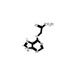 CCOC(=O)C(=O)CSc1ncnc2[nH]cnc12